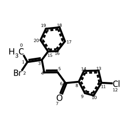 C/C(Br)=C(/C=C/C(=O)c1ccc(Cl)cc1)c1ccccc1